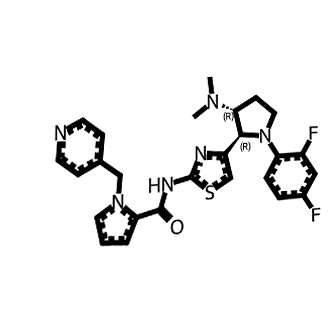 CN(C)[C@@H]1CCN(c2ccc(F)cc2F)[C@H]1c1csc(NC(=O)c2cccn2Cc2ccncc2)n1